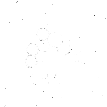 CN[C@@H](C)C(=O)N[C@H]1COc2c(C(=O)O)cccc2N(Cc2c(OC)ccc3ccccc23)C1=O.O=C(O)C(F)(F)F